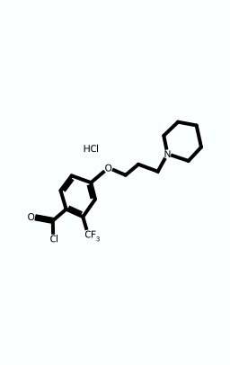 Cl.O=C(Cl)c1ccc(OCCCN2CCCCC2)cc1C(F)(F)F